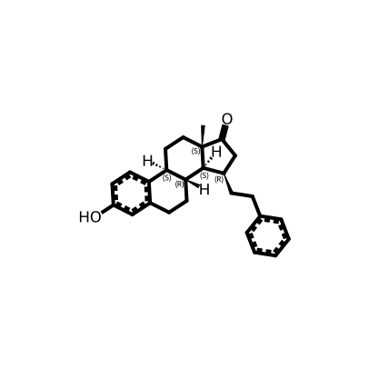 C[C@]12CC[C@@H]3c4ccc(O)cc4CC[C@H]3[C@@H]1[C@H](CCc1ccccc1)CC2=O